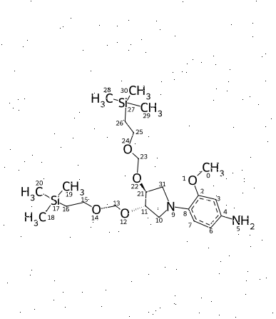 COc1cc(N)ccc1N1C[C@H](OCOCC[Si](C)(C)C)[C@@H](OCOCC[Si](C)(C)C)C1